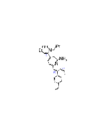 C=Cc1ccc(C(/C=C\C)=C/C2=CC=C(/C(=C/CC)N(CCC)CC(C)C)CC(N)=N2)cc1